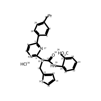 CC(C)c1ccc(-c2ccnc(N(Cc3cccs3)C(=O)Nc3ccccc3C(=O)O)n2)cc1.Cl